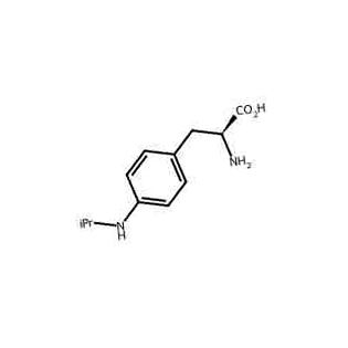 CC(C)Nc1ccc(C[C@H](N)C(=O)O)cc1